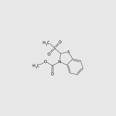 COC(=O)N1c2ccccc2SC1S(C)(=O)=O